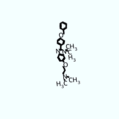 CCN(CC)CCCOc1ccc2nc(-c3ccc(OCc4ccccc4)cc3)n(C(C)C)c2c1